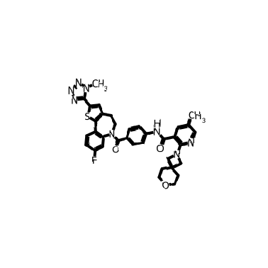 Cc1cnc(N2CC3(CCOCC3)C2)c(C(=O)Nc2ccc(C(=O)N3CCc4cc(-c5nnnn5C)sc4-c4ccc(F)cc43)cc2)c1